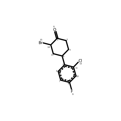 O=C1CCC(c2ccc(F)cc2Cl)CC1Br